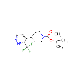 CC(C)(C)OC(=O)N1CCC(c2ccnnc2C(F)(F)F)CC1